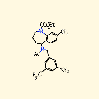 CCOC(=O)N1CCCC(N(Cc2cc(C(F)(F)F)cc(C(F)(F)F)c2)C(C)=O)c2ccc(C(F)(F)F)cc21